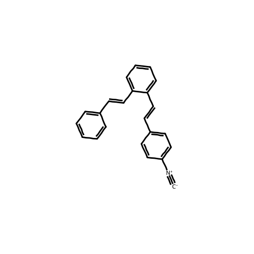 [C-]#[N+]c1ccc(C=Cc2ccccc2/C=C/c2ccccc2)cc1